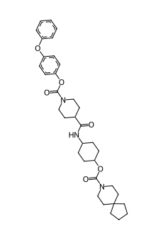 O=C(NC1CCC(OC(=O)N2CCC3(CCCC3)CC2)CC1)C1CCN(C(=O)Oc2ccc(Oc3ccccc3)cc2)CC1